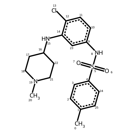 Cc1ccc(S(=O)(=O)Nc2ccc(Cl)c(NC3CCN(C)CC3)c2)cc1